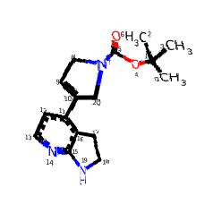 CC(C)(C)OC(=O)N1CC=C(c2ccnc3c2CCN3)C1